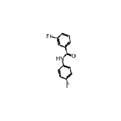 CCc1cccc(C(=O)Nc2ccc(F)cc2)c1